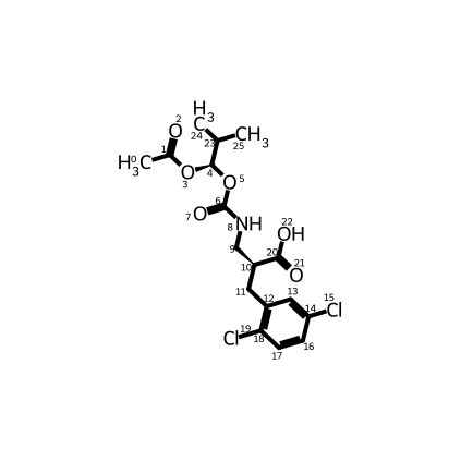 CC(=O)O[C@H](OC(=O)NC[C@H](Cc1cc(Cl)ccc1Cl)C(=O)O)C(C)C